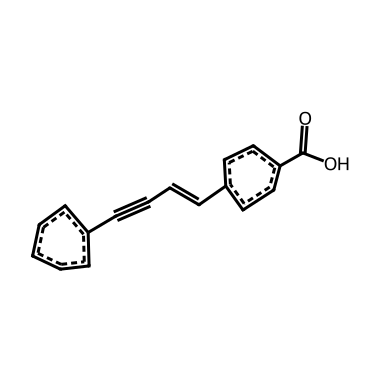 O=C(O)c1ccc(/C=C/C#Cc2ccccc2)cc1